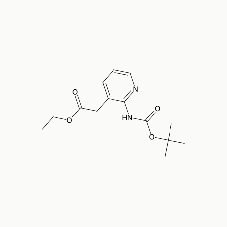 CCOC(=O)Cc1cccnc1NC(=O)OC(C)(C)C